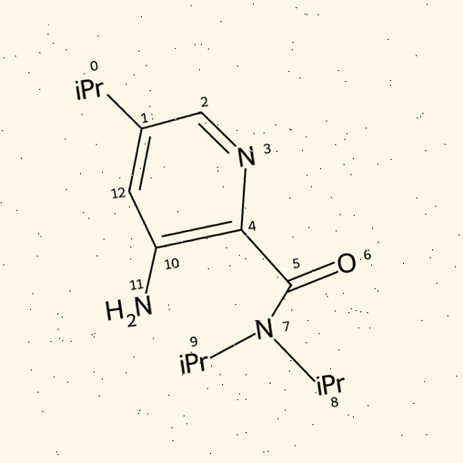 CC(C)c1cnc(C(=O)N(C(C)C)C(C)C)c(N)c1